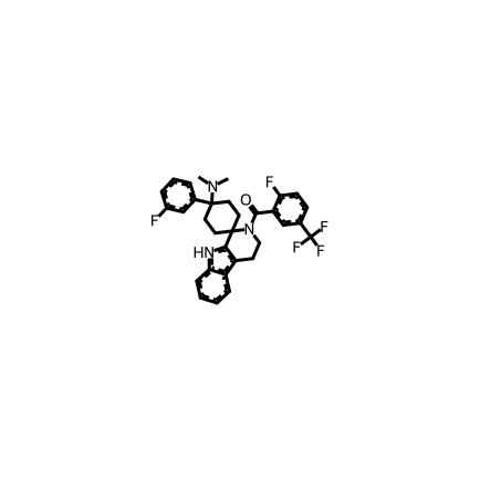 CN(C)C1(c2cccc(F)c2)CCC2(CC1)c1[nH]c3ccccc3c1CCN2C(=O)c1cc(C(F)(F)F)ccc1F